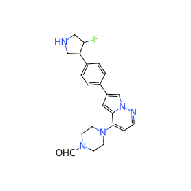 O=CN1CCN(c2ccnn3cc(-c4ccc(C5CNCC5F)cc4)cc23)CC1